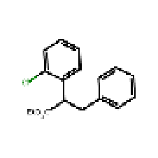 CCOC(=O)C(Cc1ccccc1)c1ccccc1Cl